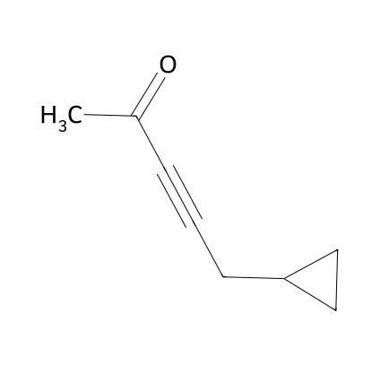 CC(=O)C#CCC1CC1